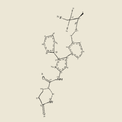 C[C@@H](OCc1cccc(-c2cc(NC(=O)C3CCC(=O)NC3)nn2-c2ccccc2)c1)C(F)(F)F